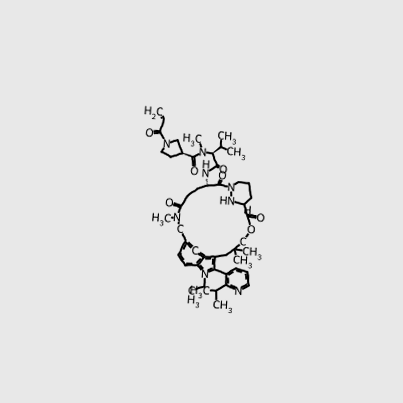 C=CC(=O)N1CC[C@H](C(=O)N(C)[C@H](C(=O)N[C@H]2CCC(=O)N(C)Cc3ccc4c(c3)c(c(-c3cccnc3C(C)C)n4CC)CC(C)(C)COC(=O)[C@@H]3CCCN(N3)C2=O)C(C)C)C1